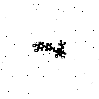 CC[C@@H](C(=O)NCCc1ccc(-c2ccc(Cl)c(Cl)c2)cc1)N(C)C(=O)OC(C)(C)C